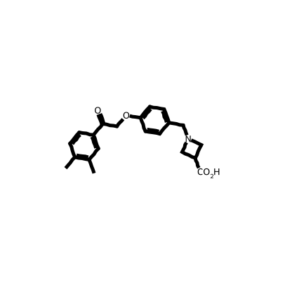 Cc1ccc(C(=O)COc2ccc(CN3CC(C(=O)O)C3)cc2)cc1C